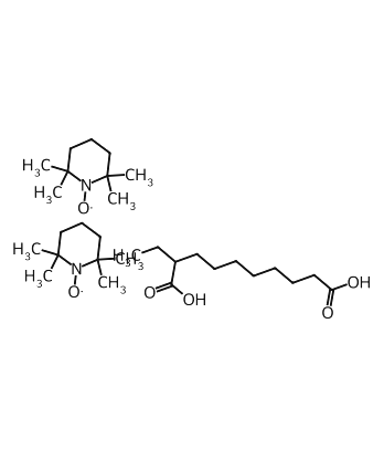 CC1(C)CCCC(C)(C)N1[O].CC1(C)CCCC(C)(C)N1[O].CCC(CCCCCCCC(=O)O)C(=O)O